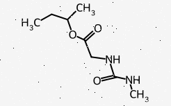 CCC(C)OC(=O)CNC(=O)NC